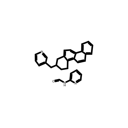 O=CNc1ccccn1.c1cncc(CC2CCc3c(ccc4c3ccc3ccccc34)C2)c1